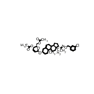 CC(=O)OC[C@H]1OC(O[C@H]2CC[C@@]3(C)C(=CCC4C3CC[C@@]3(C)C4CC[C@@H]3/C(C)=N/OCc3cccc(Cl)c3)C2)C=C[C@@H]1OC(C)=O